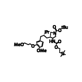 COCCCOc1cc(C[C@@H](CC2CN(C(=O)OC(C)(C)C)CC2NC(=O)OCC[Si](C)(C)C)C(C)C)ccc1OC